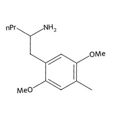 CCCC(N)Cc1cc(OC)c(C)cc1OC